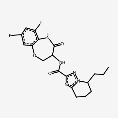 CCCC1CCCc2nc(C(=O)NC3COc4cc(F)cc(F)c4NC3=O)nn21